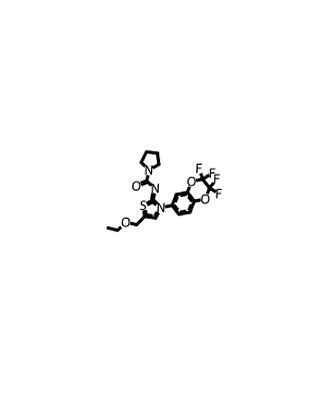 CCOCc1cn(-c2ccc3c(c2)OC(F)(F)C(F)(F)O3)c(=NC(=O)N2CCCC2)s1